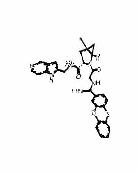 C[C@@]12C[C@@H]1N(C(=O)CNC(=N)c1ccc3c(c1)Oc1ccccc1S3)[C@H](C(=O)NCc1cc3cnccc3[nH]1)C2